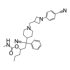 CCCC(CC(C#N)(c1ccccc1)C1CCN(CC2CN(c3ccc(C#N)cc3)C2)CC1)OC(=O)NC